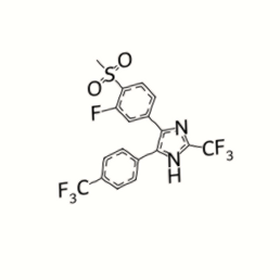 CS(=O)(=O)c1ccc(-c2nc(C(F)(F)F)[nH]c2-c2ccc(C(F)(F)F)cc2)cc1F